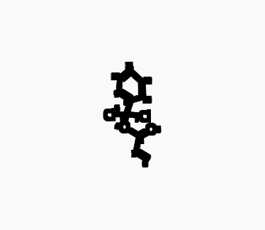 C=CC(=O)OC(Cl)(Cl)c1ccccc1